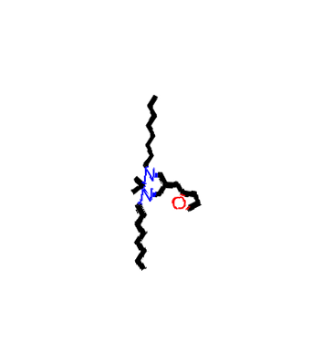 CCCCCCCCN1CC(=Cc2ccco2)CN(CCCCCCCC)C1(C)C